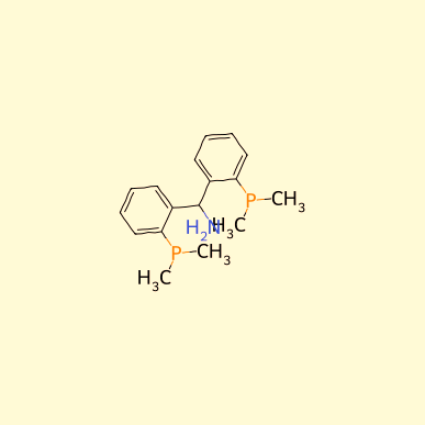 CP(C)c1ccccc1C(N)c1ccccc1P(C)C